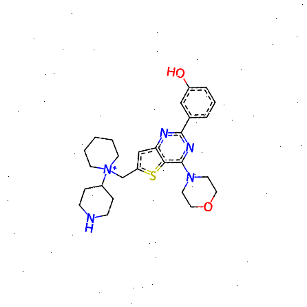 Oc1cccc(-c2nc(N3CCOCC3)c3sc(C[N+]4(C5CCNCC5)CCCCC4)cc3n2)c1